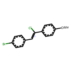 COc1ccc(/C(Cl)=C/c2ccc(Br)cc2)cc1